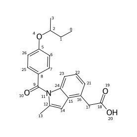 CCC(C)Oc1ccc(C(=O)n2c(C)cc3c(CC(=O)O)cccc32)cc1